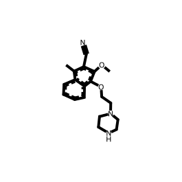 COc1c(C#N)c(C)c2ccccc2c1OCCN1CCNCC1